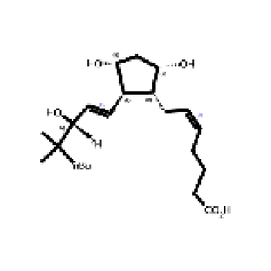 [2H][C@@](O)(/C=C/[C@@H]1[C@@H](C/C=C\CCCC(=O)O)[C@@H](O)C[C@H]1O)C(C)(C)CCCC